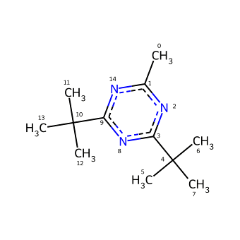 Cc1nc(C(C)(C)C)nc(C(C)(C)C)n1